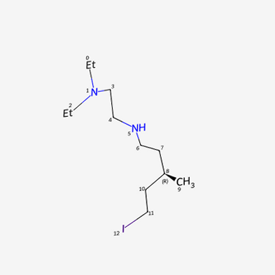 CCN(CC)CCNCC[C@@H](C)CCI